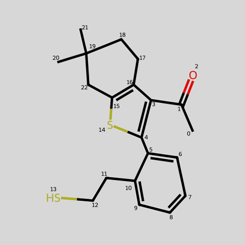 CC(=O)c1c(-c2ccccc2CCS)sc2c1CCC(C)(C)C2